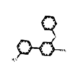 Nc1cccc(-c2ccc(N)c(Sc3ccccc3)c2)c1